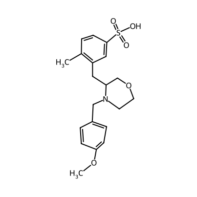 COc1ccc(CN2CCOCC2Cc2cc(S(=O)(=O)O)ccc2C)cc1